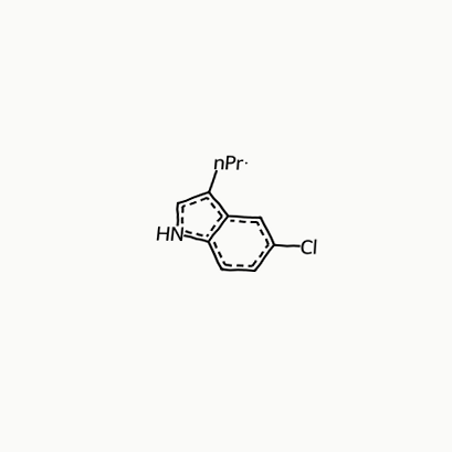 CC[CH]c1c[nH]c2ccc(Cl)cc12